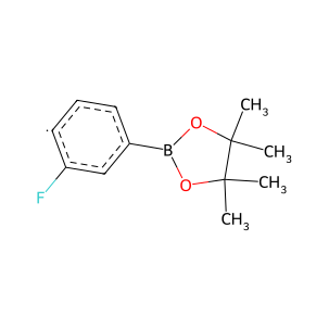 CC1(C)OB(c2cc[c]c(F)c2)OC1(C)C